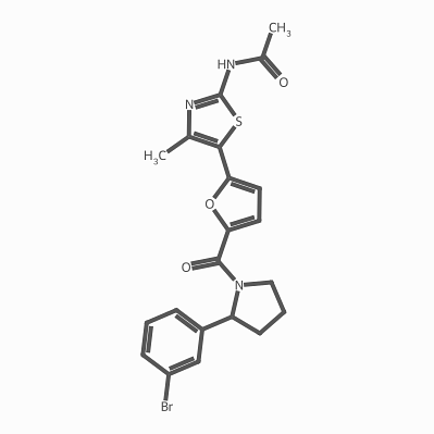 CC(=O)Nc1nc(C)c(-c2ccc(C(=O)N3CCCC3c3cccc(Br)c3)o2)s1